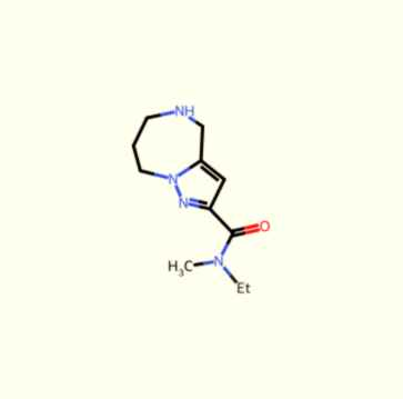 CCN(C)C(=O)c1cc2n(n1)CCCNC2